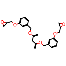 C=C(CC(=C)OCc1cccc(OCC2CO2)c1)OCc1cccc(OCC2CO2)c1